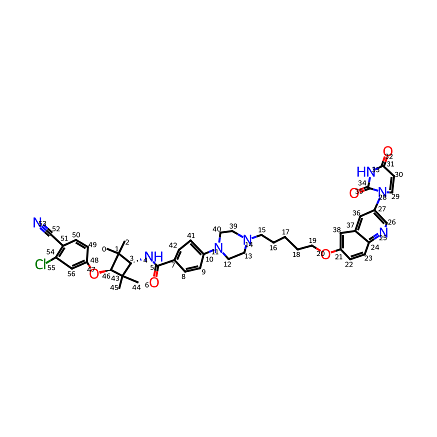 CC1(C)[C@H](NC(=O)c2ccc(N3CCN(CCCCCOc4ccc5ncc(-n6ccc(=O)[nH]c6=O)cc5c4)CC3)cc2)C(C)(C)[C@H]1Oc1ccc(C#N)c(Cl)c1